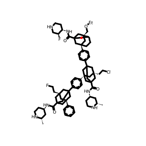 CCOC[C@@]12CC3(C(=O)N[C@H]4CCNC[C@@H]4F)CCC1CC[C@](c1ccc(C45CC6(C(=O)N[C@H]7CCN[C@@H](C)C7)C[C@](CCCl)(C4)C[C@@](c4ccc(C78CC9(C(=O)N[C@H]%10CCN[C@@H](C)C%10)C[C@](CCF)(C7)C[C@@](c7ccccc7)(C9)C8)cc4)(C6)C5)cc1)(C3)C2